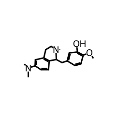 COc1ccc(CC2[N]CCc3cc(N(C)C)ccc32)cc1O